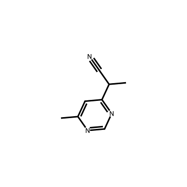 Cc1cc(C(C)C#N)ncn1